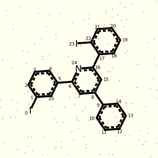 Ic1cccc(-c2cc(-c3ccccc3)cc(-c3ccccc3I)n2)c1